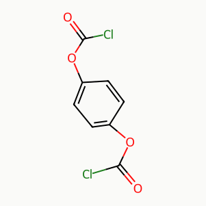 O=C(Cl)Oc1ccc(OC(=O)Cl)cc1